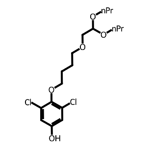 CCCOC(COCCCCOc1c(Cl)cc(O)cc1Cl)OCCC